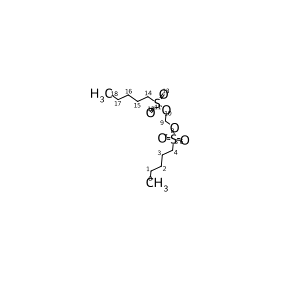 CCCCCS(=O)(=O)OCOS(=O)(=O)CCCCC